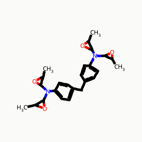 CC1OC1N(c1ccc(Cc2ccc(N(C3OC3C)C3OC3C)cc2)cc1)C1OC1C